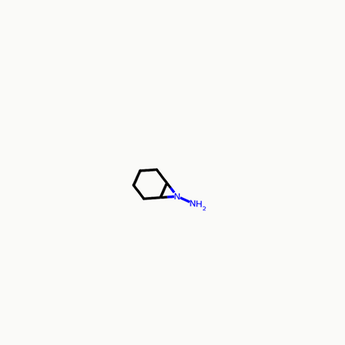 NN1C2CCCCC21